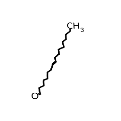 CCCCCCCCCC=CCCCCCCC=O